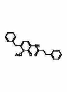 CC(=O)On1c(Cc2ccccc2)ccc(NC(=O)CCc2ccccc2)c1=O